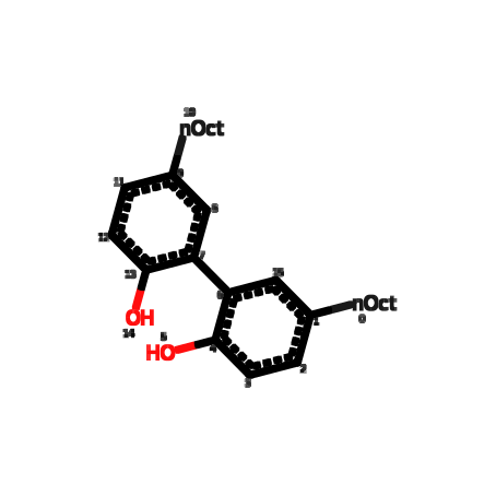 CCCCCCCCc1ccc(O)c(-c2cc(CCCCCCCC)ccc2O)c1